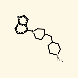 CN1CCC(CN2CCN(c3cccc4[nH]ccc34)CC2)CC1